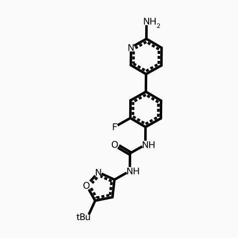 CC(C)(C)c1cc(NC(=O)Nc2ccc(-c3ccc(N)nc3)cc2F)no1